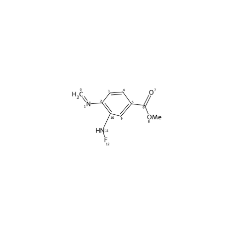 C=Nc1ccc(C(=O)OC)cc1NF